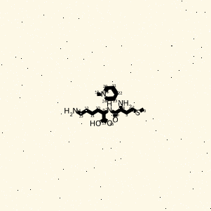 CSCCC(N)C(=O)NC(CCCCN)C(=O)O.C[n+]1ccccc1